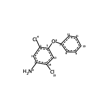 Nc1cc(Cl)c(Oc2ccccc2)cc1Cl